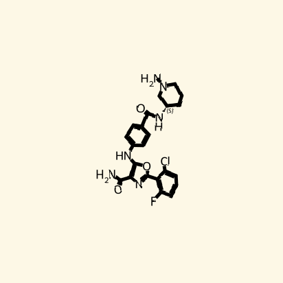 NC(=O)c1nc(-c2c(F)cccc2Cl)oc1Nc1ccc(C(=O)N[C@H]2CCCN(N)C2)cc1